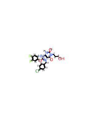 Cn1c2c(c(=O)n(CCCO)c1=O)N(Cc1ccc(Cl)cc1)C(Oc1ccc(F)c(F)c1)N2